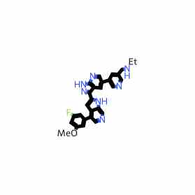 CCNCc1cncc(-c2cnc3[nH]nc(-c4cc5c(-c6cc(F)cc(OC)c6)cncc5[nH]4)c3c2)c1